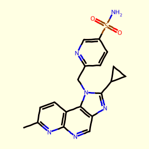 Cc1ccc2c(ncc3nc(C4CC4)n(Cc4ccc(S(N)(=O)=O)cn4)c32)n1